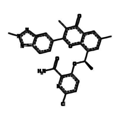 Cc1cc([C@@H](C)Oc2ccc(Cl)nc2C(N)=O)c2oc(-c3ccc4nn(C)nc4c3)c(C)c(=O)c2c1